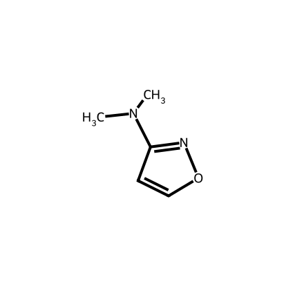 CN(C)c1ccon1